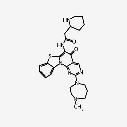 CN1CCCN(c2ncc3c(=O)c(NC(=O)CC4CCCCN4)c4sc5ccccc5n4c3n2)CC1